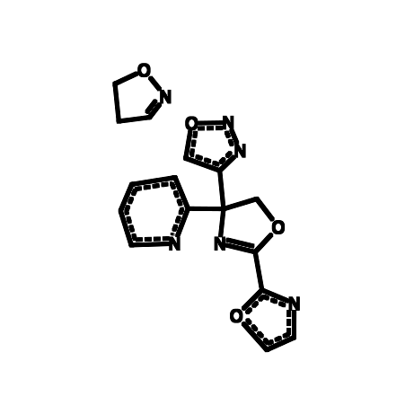 C1=NOCC1.c1ccc(C2(c3conn3)COC(c3ncco3)=N2)nc1